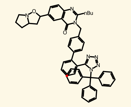 CCCCc1nc2ccc(C3CC4CCCN4O3)cc2c(=O)n1Cc1ccc(-c2ccccc2-c2nnnn2C(c2ccccc2)(c2ccccc2)c2ccccc2)cc1